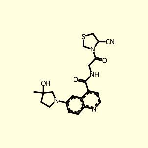 CC1(O)CCN(c2ccc3nccc(C(=O)NCC(=O)N4CSCC4C#N)c3c2)C1